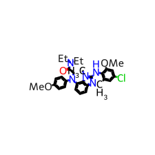 CCN(CC)C(=O)CN(c1ccc(OC)cc1)c1cccc2nc(Nc3c(C)cc(Cl)cc3OC)n(C)c12